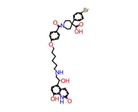 O=C(c1ccc(OCCCCCCNC[C@H](O)c2ccc(O)c3[nH]c(=O)ccc23)cc1)N1CCC(C(=O)O)(c2ccc(Br)cc2)CC1